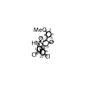 COc1cccc(C2=C[C@@]3(C(=O)Nc4cc(Cl)ccc43)[C@H](c3cccc(Cl)c3)CC2=O)c1